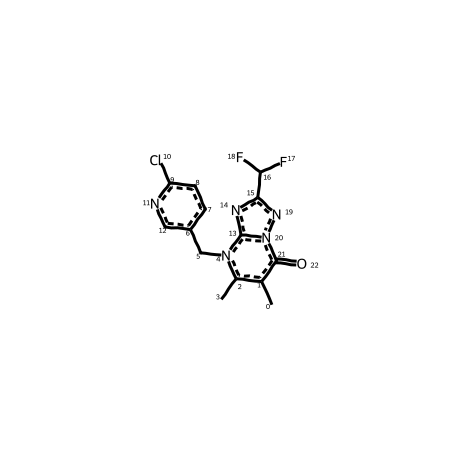 Cc1c(C)n(Cc2ccc(Cl)nc2)c2nc(C(F)F)nn2c1=O